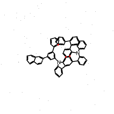 c1ccc(-c2cc(-c3ccc4ccccc4c3)cc(-n3c4ccccc4c4cc(-c5ccccc5N(c5ccccc5)c5ccccc5-c5ccccc5-c5ccccc5)ccc43)c2)cc1